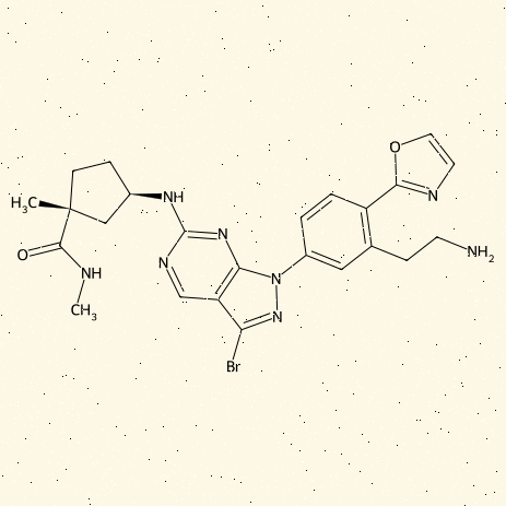 CNC(=O)[C@]1(C)CC[C@@H](Nc2ncc3c(Br)nn(-c4ccc(-c5ncco5)c(CCN)c4)c3n2)C1